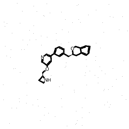 c1cc(C[C@@H]2Cc3ccccc3CO2)cc(-c2cncc(OC[C@@H]3CCN3)c2)c1